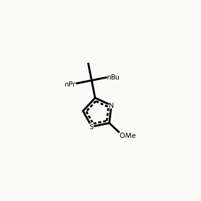 CCCCC(C)(CCC)c1csc(OC)n1